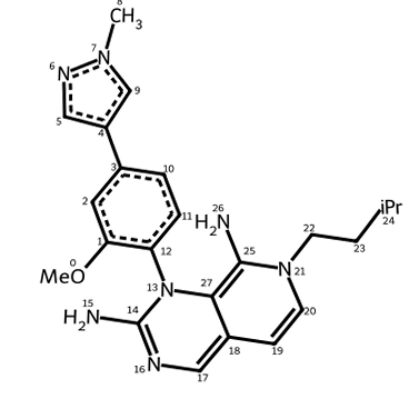 COc1cc(-c2cnn(C)c2)ccc1N1C(N)=NC=C2C=CN(CCC(C)C)C(N)=C21